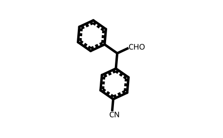 N#Cc1ccc(C(C=O)c2ccccc2)cc1